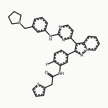 O=C(Cc1cccs1)Nc1cc(-c2nn3ccccc3c2-c2ccnc(Nc3cccc(CN4CCCC4)c3)n2)ccc1F